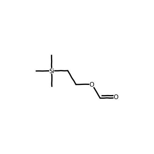 C[Si](C)(C)CCOC=O